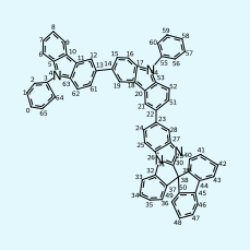 c1ccc(-n2c3ccccc3c3cc(-c4ccc5c(c4)c4cc(-c6ccc7c(c6)nc6n7-c7ccccc7C67c6ccccc6-c6ccccc67)ccc4n5-c4ccccc4)ccc32)cc1